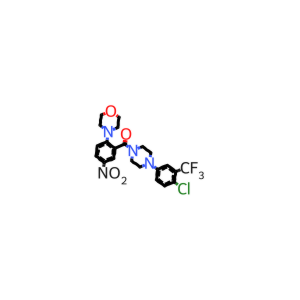 O=C(c1cc([N+](=O)[O-])ccc1N1CCOCC1)N1CCN(c2ccc(Cl)c(C(F)(F)F)c2)CC1